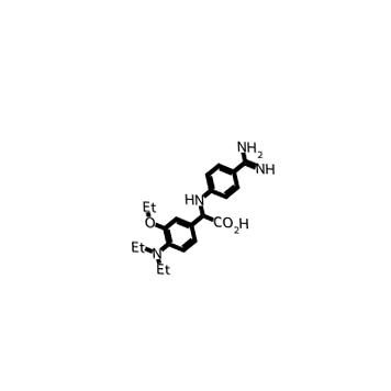 CCOc1cc(C(Nc2ccc(C(=N)N)cc2)C(=O)O)ccc1N(CC)CC